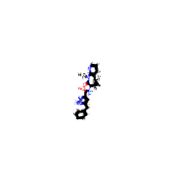 CN1C(=O)[C@@H](NC(O)c2cc(Cc3ccccc3)[nH]n2)[C@H]2C[C@H]2c2cccnc21